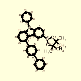 CC1(C)OB(c2ccc3c(c2)c2c(-c4ccc(-c5ccccc5)cc4)cccc2n3-c2ccccc2)OC1(C)C